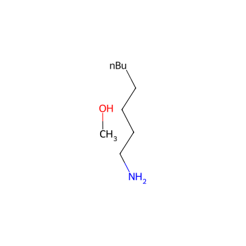 CCCCCCCCN.CO